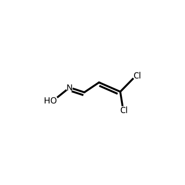 ON=CC=C(Cl)Cl